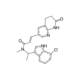 CC(c1c[nH]c2c(Cl)cccc12)N(C)C(=O)/C=C/c1cnc2c(c1)CCC(=O)N2